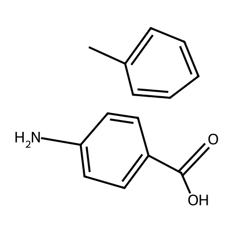 Cc1ccccc1.Nc1ccc(C(=O)O)cc1